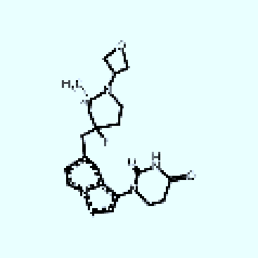 C[C@H]1CC(F)(Cc2ccn3ncc(N4CCC(=O)NC4=O)c3c2)CCN1C1COC1